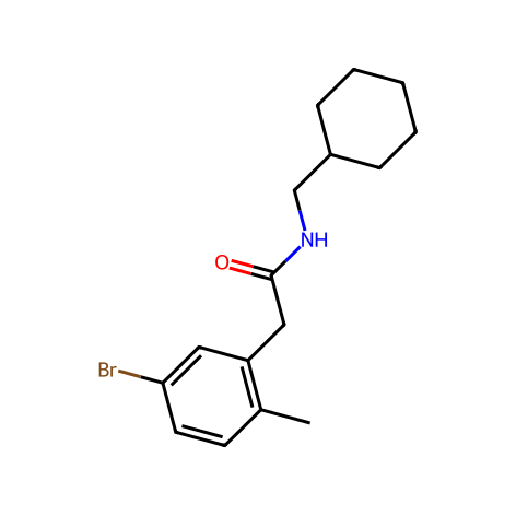 Cc1ccc(Br)cc1CC(=O)NCC1CCCCC1